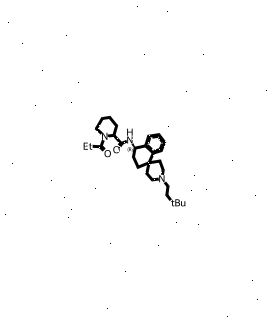 CCC(=O)N1CCCCC1C(=O)N[C@@H]1CCC2(CCN(CCC(C)(C)C)CC2)c2ccccc21